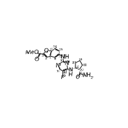 COC(=O)c1cc2cc(Nc3ncc(F)c(N[C@@H]4CCC[C@@H]4C(N)=O)n3)ccc2o1